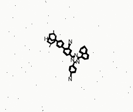 C[C@@H]1C[C@@H]2C[C@H](C)CC(c3ccc(-c4ccc(-c5nc(-c6ccc(C#N)cc6)nc(-c6cccc7ccccc67)n5)cc4C#N)cc3)(C1)C2